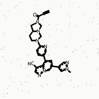 C#CC(=O)N1CC2CCN(c3ccc(-c4cc(-c5cnn(C)c5)cn5ncc(C#N)c45)cn3)CN2C1